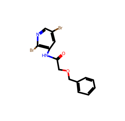 O=C(COCc1ccccc1)Nc1cc(Br)cnc1Br